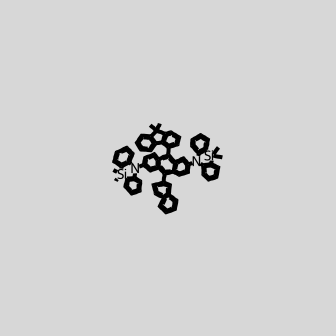 CC1(C)c2ccccc2-c2c(-c3c4ccc(N5c6ccccc6[Si](C)(C)c6ccccc65)cc4c(-c4ccc5ccccc5c4)c4ccc(N5c6ccccc6[Si](C)(C)c6ccccc65)cc34)cccc21